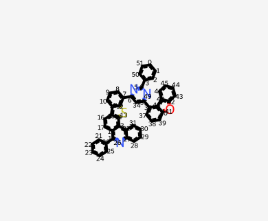 c1ccc(-c2nc(-c3cccc4c3sc3c4ccc4c(-c5ccccc5)nc5ccccc5c43)cc(-c3cccc4oc5ccccc5c34)n2)cc1